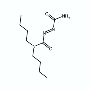 CCCCN(CCCC)C(=O)N=NC(N)=O